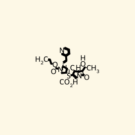 C=CCOC(=O)N1C[C@@H](SC2=C(C(=O)O)N3C(=O)[C@H]([C@@H](C)O)[C@H]3[C@H]2C)C[C@H]1C=Cc1cccnc1